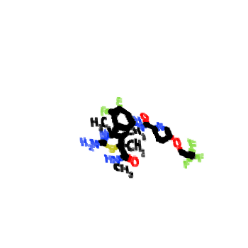 CNC(=O)[C@@]1(C)SC(N)=N[C@](C)(c2cc(NC(=O)c3ccc(OCC(F)(F)F)cn3)cc(F)c2F)C1C